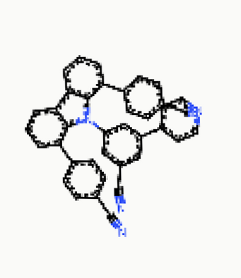 N#Cc1ccc(-c2cccc3c4cccc(-c5ccc(C#N)cc5)c4n(-c4cc(C#N)cc(-c5ccncc5)c4)c23)cc1